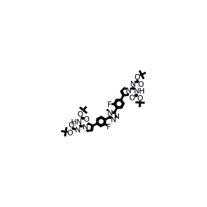 Cn1c(-c2ccc(C3=CCN(/C(=N/C(=O)OC(C)(C)C)NC(=O)OC(C)(C)C)C3)cc2F)nnc1-c1ccc(C2=CCN(/C(=N/C(=O)OC(C)(C)C)NC(=O)OC(C)(C)C)C2)cc1F